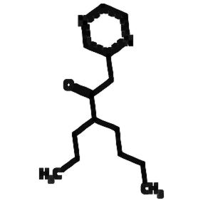 CCCCC(CCC)C(=O)Cc1cnccn1